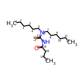 CCCCCCN(CCCCCC)C(=S)NC(=O)CCC